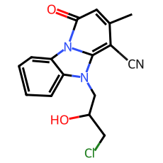 Cc1cc(=O)n2c3ccccc3n(CC(O)CCl)c2c1C#N